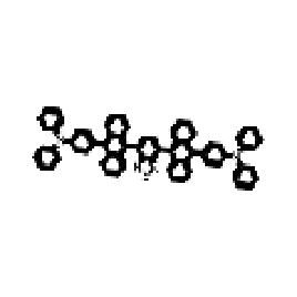 c1ccc(N(c2ccccc2)c2ccc(-c3c4ccccc4c(-c4ccc(-c5c6ccccc6c(-c6ccc(N(c7ccccc7)c7ccccc7)cc6)c6ccccc56)c5nsnc45)c4ccccc34)cc2)cc1